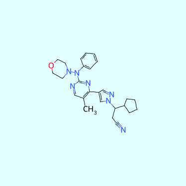 Cc1cnc(N(c2ccccc2)N2CCOCC2)nc1-c1cnn(C(CC#N)C2CCCC2)c1